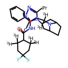 [2H]C1([2H])CC(F)(F)CC([2H])([2H])C1C(=O)NC(CC([2H])([2H])N1C2CCC1CC(n1c(C)nnc1C(C)C)C2)c1ccccc1